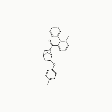 Cc1ccc(OC2CC3CC2N(C(=O)c2nccc(C)c2-c2ccccn2)C3)nc1